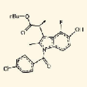 CCCCOC(=O)[C@@H](C)c1c(C)n(C(=O)c2ccc(Cl)cc2)c2ccc(O)c(F)c12